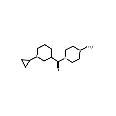 O=C(O)N1CCN(C(=O)C2CCCN(C3CC3)C2)CC1